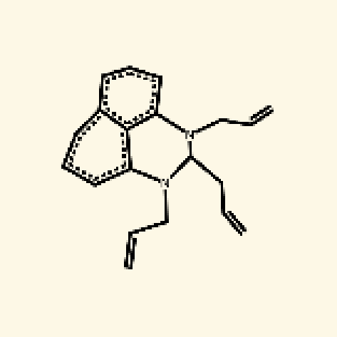 C=CCC1N(CC=C)c2cccc3cccc(c23)N1CC=C